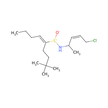 CCC/C=C(\CCC(C)(C)C)[S+]([O-])NC(C)/C=C\CCl